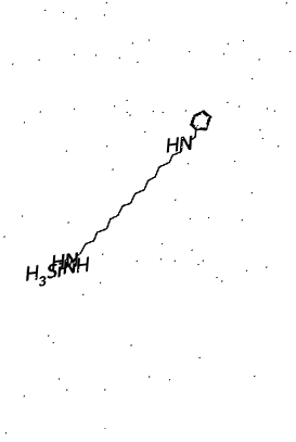 [SiH3]NNCCCCCCCCCCCCCCCCCNCc1ccccc1